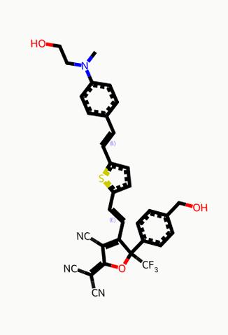 CN(CCO)c1ccc(/C=C/c2ccc(/C=C/C3=C(C#N)C(=C(C#N)C#N)OC3(c3ccc(CO)cc3)C(F)(F)F)s2)cc1